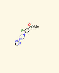 COC(=O)c1ccc(N2CCN(c3ncccn3)CC2)c(F)c1